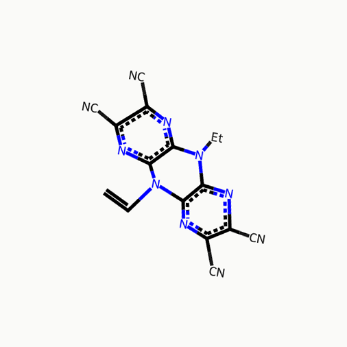 C=CN1c2nc(C#N)c(C#N)nc2N(CC)c2nc(C#N)c(C#N)nc21